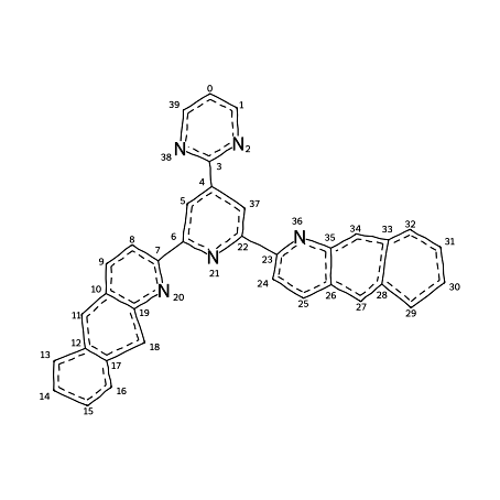 c1cnc(-c2cc(-c3ccc4cc5ccccc5cc4n3)nc(-c3ccc4cc5ccccc5cc4n3)c2)nc1